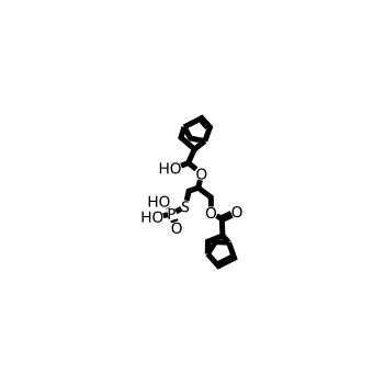 O=C(OCC(CSP(=O)(O)O)OC(O)C1CC2C=CC1C2)C1CC2C=CC1C2